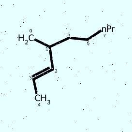 [CH2]C(C=CC)CCCCC